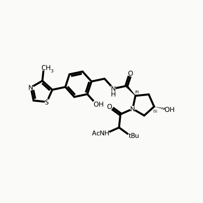 CC(=O)NC(C(=O)N1C[C@@H](O)C[C@@H]1C(=O)NCc1ccc(-c2scnc2C)cc1O)C(C)(C)C